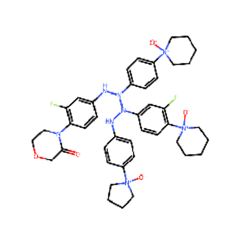 O=C1COCCN1c1ccc(NN(c2ccc([N+]3([O-])CCCCC3)cc2)N(Nc2ccc([N+]3([O-])CCCC3)cc2)c2ccc([N+]3([O-])CCCCC3)c(F)c2)cc1F